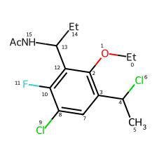 CCOc1c(C(C)Cl)cc(Cl)c(F)c1C(CC)NC(C)=O